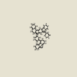 c1ccc(-n2c3ccccc3c3cc4c5c6ccccc6ccc5n(-c5cccc(-c6cccc7oc8ccccc8c67)c5)c4cc32)cc1